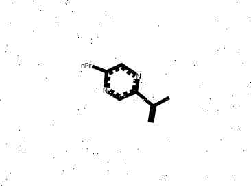 C=C(C)c1cnc(CCC)cn1